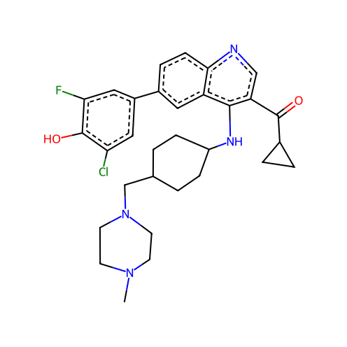 CN1CCN(CC2CCC(Nc3c(C(=O)C4CC4)cnc4ccc(-c5cc(F)c(O)c(Cl)c5)cc34)CC2)CC1